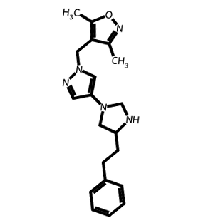 Cc1noc(C)c1Cn1cc(N2CNC(CCc3ccccc3)C2)cn1